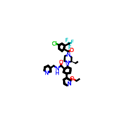 CCOc1ncccc1-c1ccc(N2CCN(C(=O)c3ccc(Cl)cc3C(F)(F)F)C[C@H]2CC)c(C(=O)NCc2cccnc2)c1